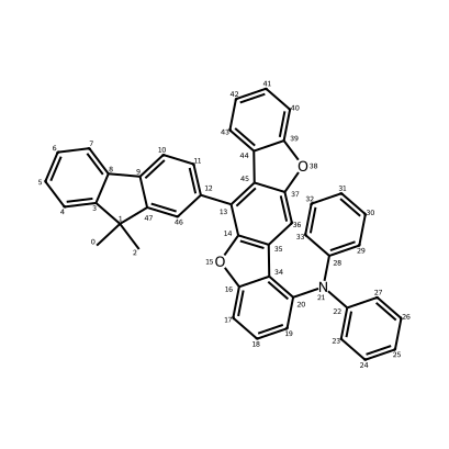 CC1(C)c2ccccc2-c2ccc(-c3c4oc5cccc(N(c6ccccc6)c6ccccc6)c5c4cc4oc5ccccc5c34)cc21